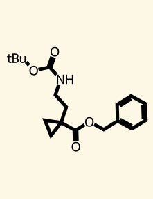 CC(C)(C)OC(=O)NCCC1(C(=O)OCc2ccccc2)CC1